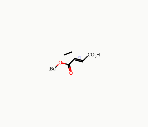 CC.CC(C)(C)OC(=O)/C=C/C(=O)O